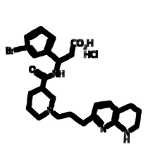 Cl.O=C(O)CC(NC(=O)C1CCCN(CCCc2ccc3c(n2)NCCC3)C1)c1cccc(Br)c1